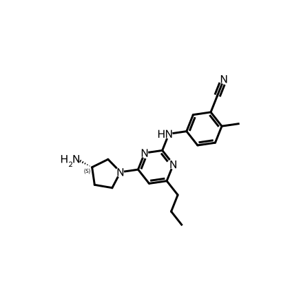 CCCc1cc(N2CC[C@H](N)C2)nc(Nc2ccc(C)c(C#N)c2)n1